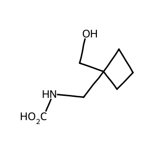 O=C(O)NCC1(CO)CCC1